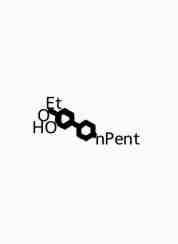 CCCCCC1CCC(c2ccc(C(=O)CC)c(O)c2)CC1